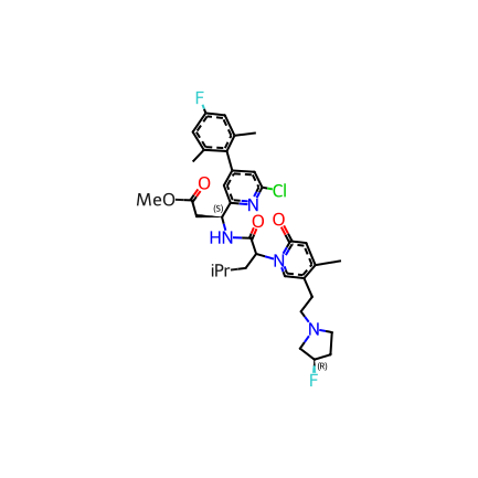 COC(=O)C[C@H](NC(=O)C(CC(C)C)n1cc(CCN2CC[C@@H](F)C2)c(C)cc1=O)c1cc(-c2c(C)cc(F)cc2C)cc(Cl)n1